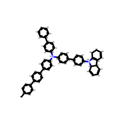 Cc1ccc(-c2ccc(-c3ccc(N(c4ccc(-c5ccccc5)cc4)c4ccc(-c5ccc(N6C7=C(C=CCC7)C7C=CC=CC76)cc5)cc4)cc3)cc2)cc1